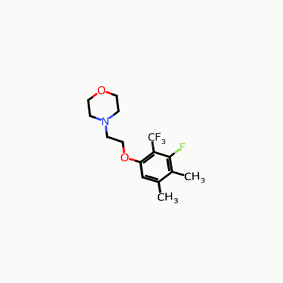 Cc1cc(OCCN2CCOCC2)c(C(F)(F)F)c(F)c1C